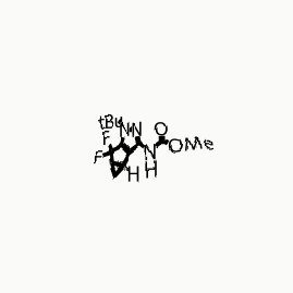 COC(=O)Nc1nn(C(C)(C)C)c2c1[C@H]1CC1C2(F)F